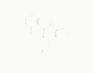 Cc1ccccc1-c1c(O)c2ccsc2n(CC(F)(F)F)c1=O